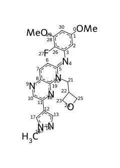 COc1cc(/N=c2\ccc3ncc(-c4cnn(C)c4)nc3n2CC2COC2)c(F)c(OC)c1